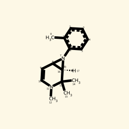 Cc1ccccc1N1C2C=CN(C)C(C)(C)[C@@H]21